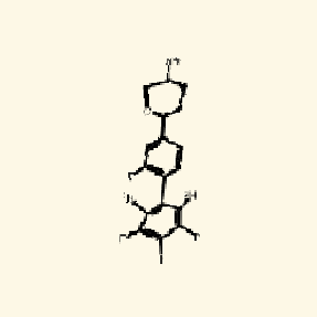 [2H]c1c(F)c(F)c(F)c([2H])c1-c1ccc(C2CCC(CCC)CO2)cc1F